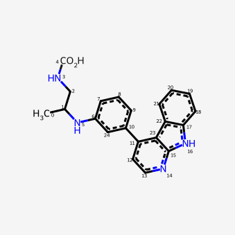 CC(CNC(=O)O)Nc1cccc(-c2ccnc3[nH]c4ccccc4c23)c1